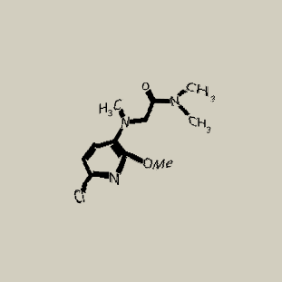 COc1nc(Cl)ccc1N(C)CC(=O)N(C)C